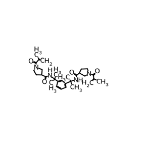 C=C(C)C(=O)N1CCC(C(=O)NC(C)(C)c2cccc(C(C)(C)NC(=O)C3CCN(C(=O)C(=C)C)C3)c2)C1